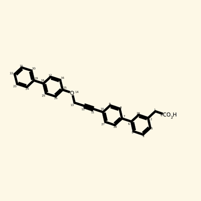 O=C(O)Cc1cccc(-c2ccc(C#CCOc3ccc(-c4ccccc4)cc3)cc2)c1